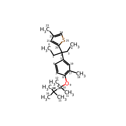 CCC(CC)(c1ccc(O[Si](C)(C)C(C)(C)C)c(C)c1)c1cc(C)cs1